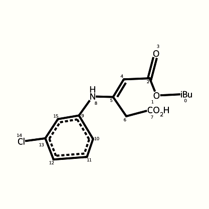 CCC(C)OC(=O)C=C(CC(=O)O)Nc1cccc(Cl)c1